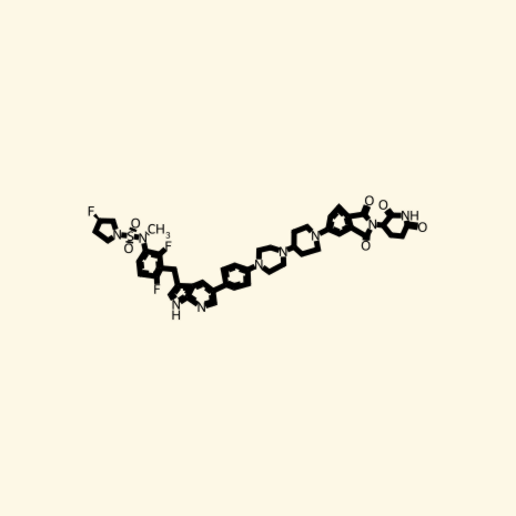 CN(c1ccc(F)c(Cc2c[nH]c3ncc(-c4ccc(N5CCN(C6CCN(c7ccc8c(c7)C(=O)N(C7CCC(=O)NC7=O)C8=O)CC6)CC5)cc4)cc23)c1F)S(=O)(=O)N1CC[C@@H](F)C1